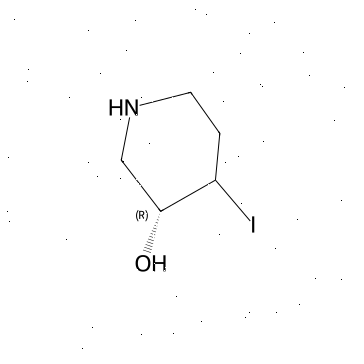 O[C@@H]1CNCCC1I